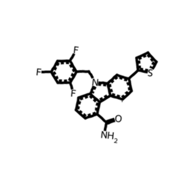 NC(=O)c1cccc2c1c1[c]cc(-c3cccs3)cc1n2Cc1c(F)cc(F)cc1F